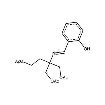 CC(=O)OCCC(COC(C)=O)(COC(C)=O)/N=C/c1ccccc1O